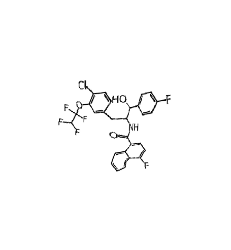 O=C(NC(Cc1ccc(Cl)c(OC(F)(F)C(F)F)c1)C(O)c1ccc(F)cc1)c1ccc(F)c2ccccc12